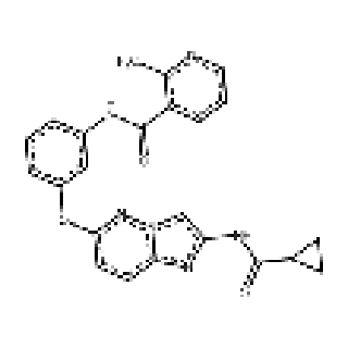 O=C(Nc1cccc(Oc2ccc3nc(NC(=O)C4CC4)cn3n2)c1)c1cccnc1C(F)(F)F